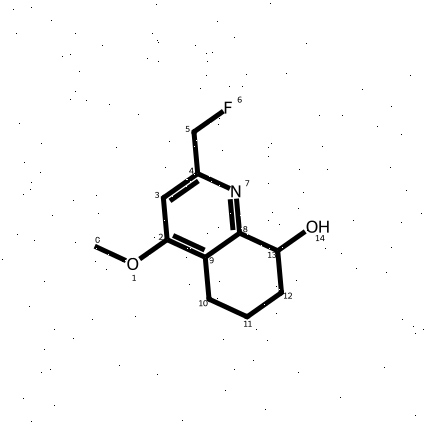 COc1cc(CF)nc2c1CCCC2O